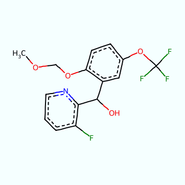 COCOc1ccc(OC(F)(F)F)cc1C(O)c1ncccc1F